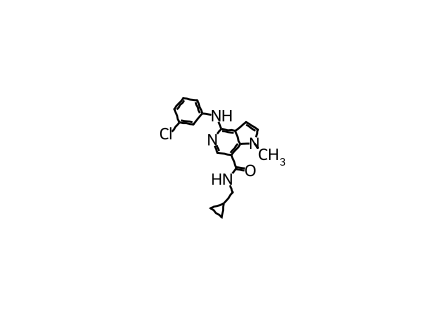 Cn1ccc2c(Nc3cccc(Cl)c3)ncc(C(=O)NCC3CC3)c21